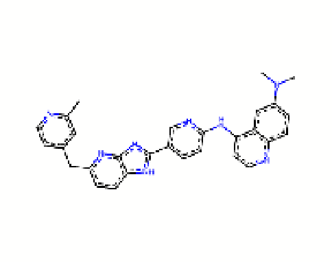 Cc1cc(Cc2ccc3[nH]c(-c4ccc(Nc5ccnc6ccc(N(C)C)cc56)nc4)nc3n2)ccn1